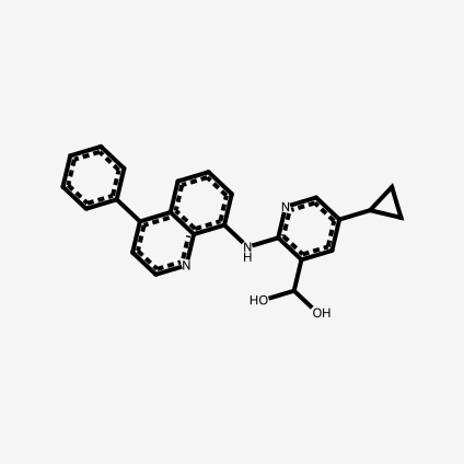 OC(O)c1cc(C2CC2)cnc1Nc1cccc2c(-c3ccccc3)ccnc12